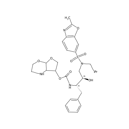 Cc1nc2ccc(S(=O)(=O)N(CC(C)C)C[C@@H](O)[C@H](Cc3ccccc3)NC(=O)OC3COC4OCCNC34)cc2o1